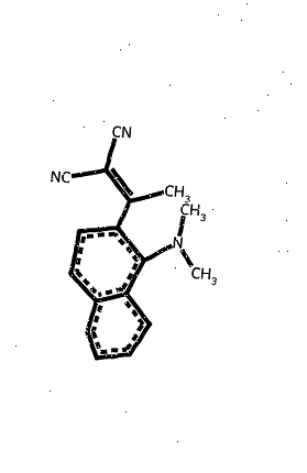 CC(=C(C#N)C#N)c1ccc2ccccc2c1N(C)C